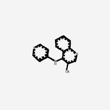 N#Cc1cnc2ccccc2c1Nc1ccncc1